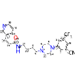 N#Cc1cc(N2CCN(CCCCNC(=O)/C=C\c3cccnc3)CC2)cc(C(F)(F)F)c1